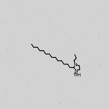 CCCCCCCCCCCCCCC1N(O)CCN1CCC